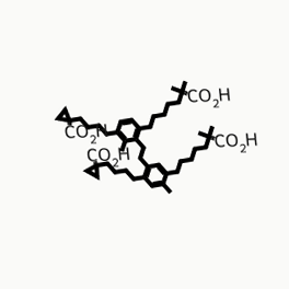 Cc1cc(CCCCC2(C(=O)O)CC2)c(CCc2c(CCCCCC(C)(C)C(=O)O)ccc(CCCCC3(C(=O)O)CC3)c2C)cc1CCCCCC(C)(C)C(=O)O